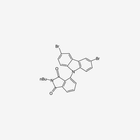 CCCCN1C(=O)c2cccc(-n3c4ccc(Br)cc4c4cc(Br)ccc43)c2C1=O